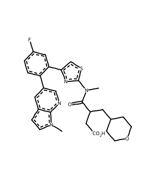 CN(C(=O)C(CC(=O)O)CC1CCOCC1)c1nc(-c2cc(F)ccc2-c2cnc3c(ccn3C)c2)cs1